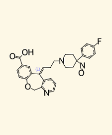 O=NC1(c2ccc(F)cc2)CCN(CC/C=C2/c3cc(C(=O)O)ccc3OCc3ncccc32)CC1